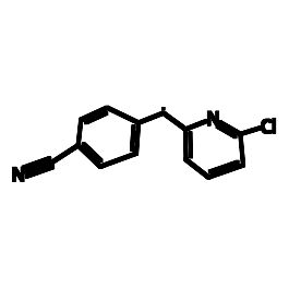 N#Cc1ccc([CH]c2cccc(Cl)n2)cc1